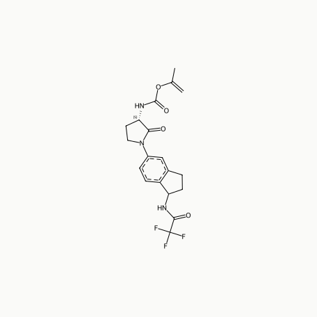 C=C(C)OC(=O)N[C@H]1CCN(c2ccc3c(c2)CCC3NC(=O)C(F)(F)F)C1=O